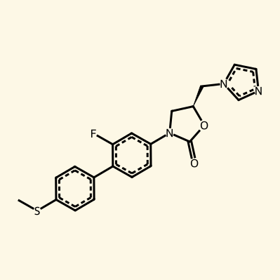 CSc1ccc(-c2ccc(N3C[C@@H](Cn4ccnc4)OC3=O)cc2F)cc1